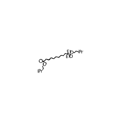 CCC(CC)(CCCCCCCCCC(=O)OCCC(C)C)C(=O)OCCC(C)C